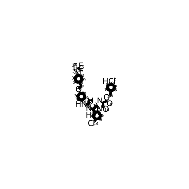 Cl.NC(C(=O)OCc1ccccc1)C(=O)n1cc(NC(=O)Nc2ccc(OCc3ccc(SC(F)(F)F)cc3)cc2)c2cc(Cl)ccc21